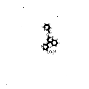 O=C(O)c1cncc(-c2cc(OCc3ccccn3)nc3c2CCCC3)c1